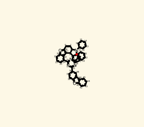 C1=CC2C(c3ccccc3N2c2ccccc2)c2c1oc1cccc(-c3nc(-c4ccccc4)nc(-c4ccc5oc6ccccc6c5c4)n3)c21